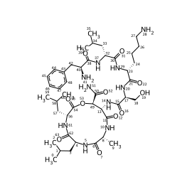 CC(C)C[C@@H]1NC(=O)[C@@H](C)NC(=O)[C@@H](NC(=O)[C@H](CO)NC(=O)[C@@H](CCCCN)NC(=O)[C@@H](CC(C)C)NC(=O)[C@@H](N)Cc2ccccc2)[C@H](C(N)=O)OC(=O)[C@@H](CC(C)C)NC1=O